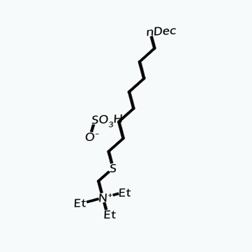 CCCCCCCCCCCCCCCCCCSC[N+](CC)(CC)CC.O=S(=O)([O-])O